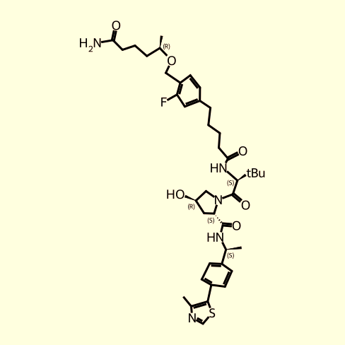 Cc1ncsc1-c1ccc([C@H](C)NC(=O)[C@@H]2C[C@@H](O)CN2C(=O)[C@@H](NC(=O)CCCCc2ccc(CO[C@H](C)CCCC(N)=O)c(F)c2)C(C)(C)C)cc1